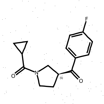 O=C(c1ccc(F)cc1)[C@H]1CCN(C(=O)C2CC2)C1